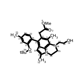 COC(=O)Cc1c(C)c2c3c(cc(C)n3CCN2CCO)c1-c1ccc(C)cc1OC(C)(C)C